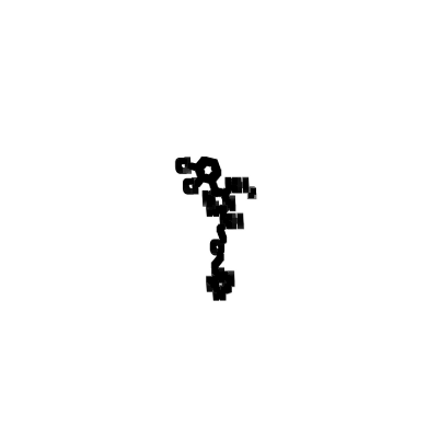 Nc1nc(NCCOCCn2ncnn2)nnc1-c1cccc(Cl)c1Cl